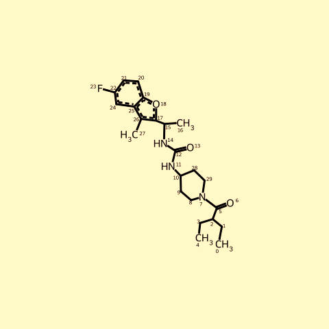 CCC(CC)C(=O)N1CCC(NC(=O)NC(C)c2oc3ccc(F)cc3c2C)CC1